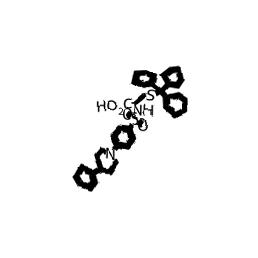 O=C(O)[C@H](CSC(c1ccccc1)(c1ccccc1)c1ccccc1)NS(=O)(=O)c1ccc(N2CCC(c3ccccc3)CC2)cc1